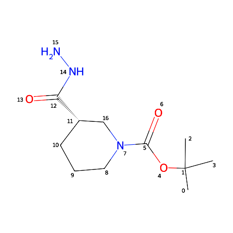 CC(C)(C)OC(=O)N1CCC[C@H](C(=O)NN)C1